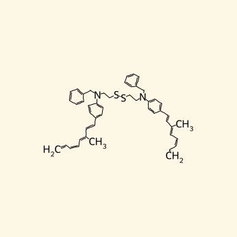 C=C\C=C/C=C(C)/C=C/c1ccc(N(CCSSCCN(Cc2ccccc2)c2ccc(/C=C/C(C)=C/C=C\C=C)cc2)Cc2ccccc2)cc1